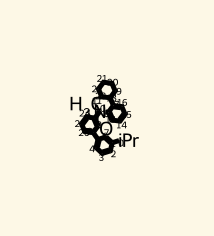 CC(C)c1cccc2c1oc1c(N(C)c3ccccc3C3CCCCC3)cccc12